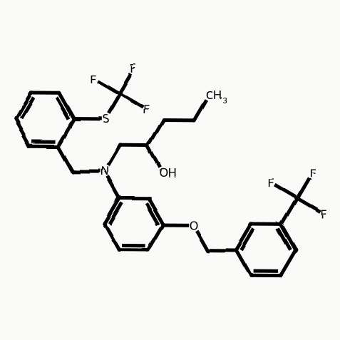 CCCC(O)CN(Cc1ccccc1SC(F)(F)F)c1cccc(OCc2cccc(C(F)(F)F)c2)c1